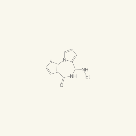 CCNC1NC(=O)c2ccsc2-n2cccc21